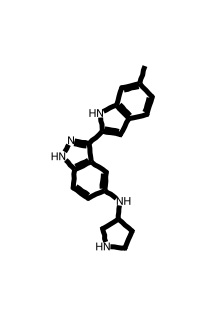 Cc1ccc2cc(-c3n[nH]c4ccc(NC5CCNC5)cc34)[nH]c2c1